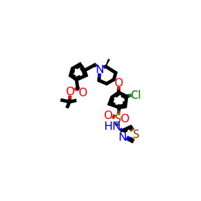 C[C@H]1C[C@H](Oc2ccc(S(=O)(=O)Nc3cscn3)cc2Cl)CCN1Cc1cccc(C(=O)OC(C)(C)C)c1